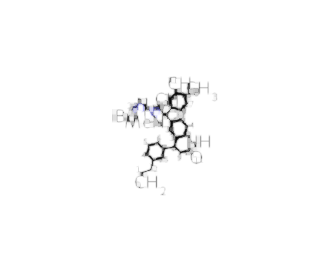 C=CCc1cccc(-c2cc(=O)[nH]c3ccc(C(NC)(/C(C)=N/N=C\C(C)CC)c4ccc(C)c(C)c4)cc23)c1